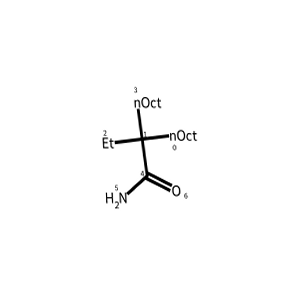 CCCCCCCCC(CC)(CCCCCCCC)C(N)=O